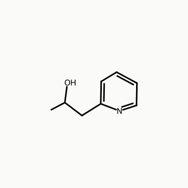 CC(O)Cc1ccccn1